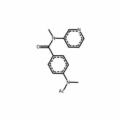 CC(=O)N(C)c1ccc(C(=O)N(C)c2cccnc2)cc1